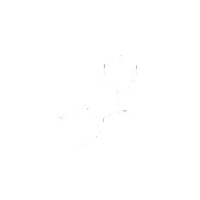 CCCO[SiH](OCCC)[SiH2]c1ccccc1